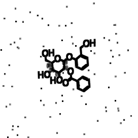 O=C(O[C@H]1[C@H](Oc2ccccc2CO)O[C@H](CO)[C@@H](O)[C@@H]1O)c1ccccc1